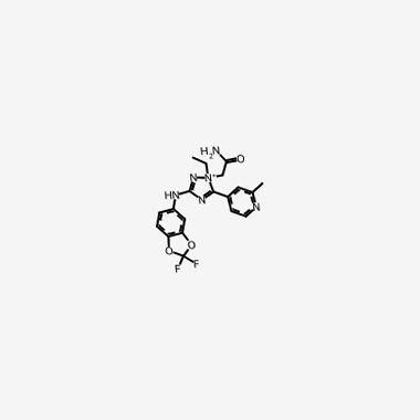 CC[N+]1(CC(N)=O)N=C(Nc2ccc3c(c2)OC(F)(F)O3)N=C1c1ccnc(C)c1